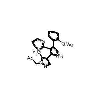 COc1ccccc1-c1c[nH]c(-c2cnn(CC(C)=O)c2C(F)(F)F)c1-c1ncccn1